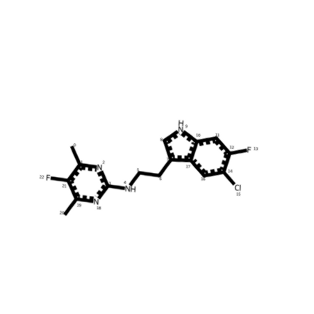 Cc1nc(NCCc2c[nH]c3cc(F)c(Cl)cc23)nc(C)c1F